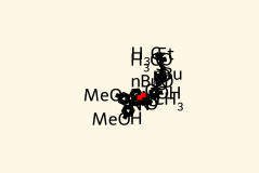 CCCCN(CCCC)P(=O)(OCCSC(=O)C(C)(C)CC)OC[C@H]1O[C@@H](n2ccc(NC(c3ccccc3)(c3ccc(OC)cc3)c3ccc(OC)cc3)nc2=O)[C@@](C)(O)C1O